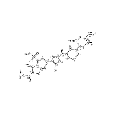 CNS(=O)(=O)c1cc(-c2sc(Nc3cccc(N4C[C@H](C)N(C(=O)O)CC4=O)n3)nc2C)cc2c1C(=O)N([C@@H](C)C1CC1)C2